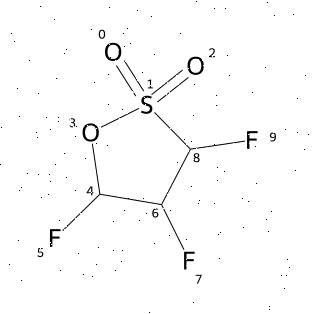 O=S1(=O)OC(F)C(F)C1F